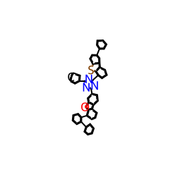 c1ccc(-c2ccc3sc4c(-c5nc(-c6ccccc6)nc(-c6ccc7c(c6)oc6c(-c8ccccc8-c8ccccc8)cccc67)n5)cccc4c3c2)cc1